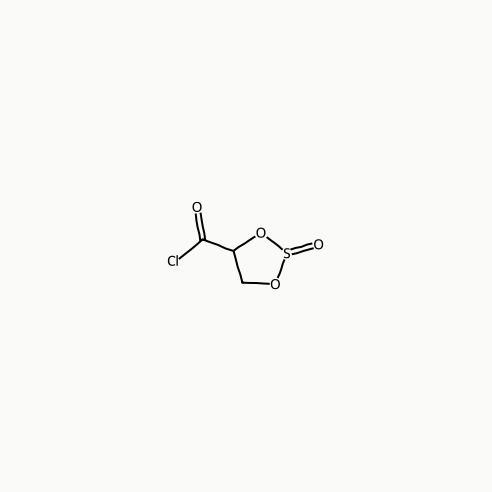 O=C(Cl)C1COS(=O)O1